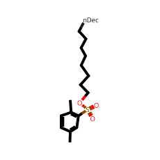 CCCCCCCCCCCCCCCCCCOS(=O)(=O)c1cc(C)ccc1C